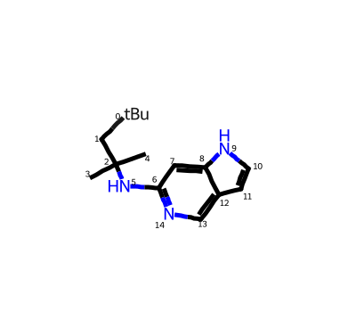 CC(C)(C)CC(C)(C)Nc1cc2[nH]ccc2cn1